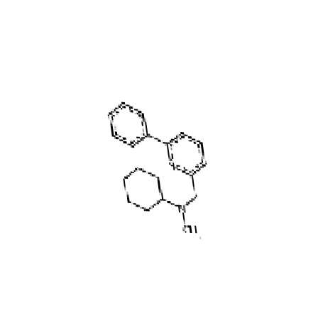 CN(Cc1cccc(-c2ccccc2)n1)C1CCCCC1